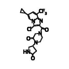 O=C1CC(N2CCN(C(=O)c3nc4c(C(F)(F)F)cc(C5CC5)cn4c3Cl)CC2=O)CN1